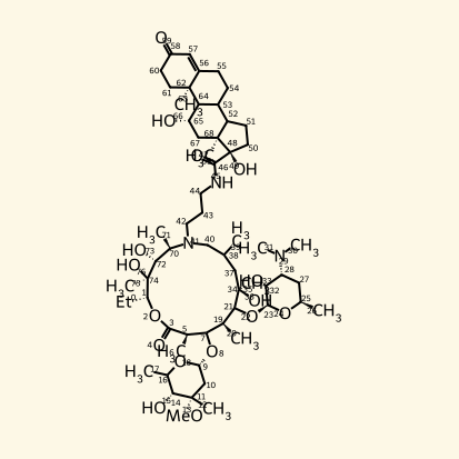 CC[C@H]1OC(=O)[C@H](C)C(O[C@@H]2C[C@](C)(OC)[C@H](O)C(C)O2)[C@H](C)C(O[C@@H]2O[C@H](C)C[C@@H](N(C)C)[C@H]2O)[C@](C)(O)CC(C)CN(CCCNC(=O)[C@@]2(O)CCC3C4CCC5=CC(=O)CC[C@]5(C)C4[C@@H](O)C[C@@]32C)[C@H](C)[C@@H](O)[C@]1(C)O